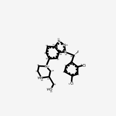 C[C@H](c1ccc(Cl)cc1Cl)n1nnc2ccc(N3CCNC(CO)C3)cc21